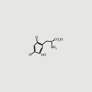 CCOC(=O)[C@@H](N)Cc1ccc(Cl)cc1Cl.Cl